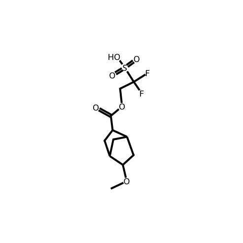 COC1CC2CC1CC2C(=O)OCC(F)(F)S(=O)(=O)O